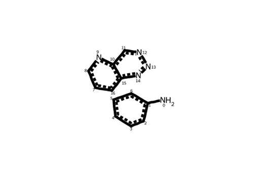 Nc1ccccc1.c1cnc2cnnnc2c1